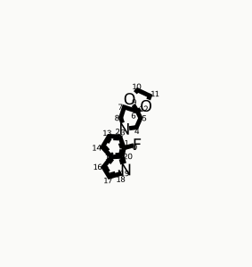 Fc1c(N2CCC3(CC2)OCCO3)ccc2cccnc12